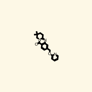 CC1(C)CCc2nc3cc(COc4ccccn4)ccc3c(=O)n2C1